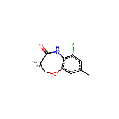 Cc1cc(F)c2c(c1)OC[C@H](C)C(=O)N2